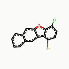 Clc1ccc(Br)c2c1oc1cc3ccccc3cc12